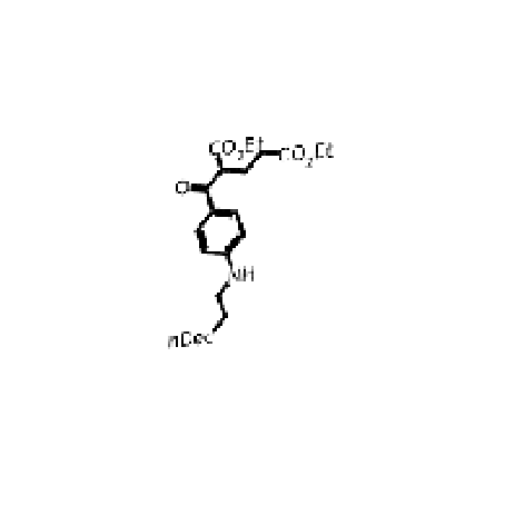 CCCCCCCCCCCCNc1ccc(C(=O)C(CCC(=O)OCC)C(=O)OCC)cc1